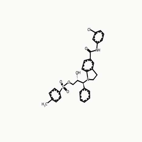 Cc1ccc(S(=O)(=O)OC[C@H](O)[C@H](c2ccccc2)N2CCc3cc(C(=O)Nc4cccc(Cl)c4)ccc32)cc1